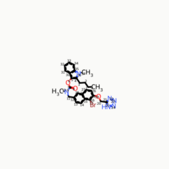 CCCCc1c(OC(=O)N(C)Cc2ccc3c(Br)c(OCc4nnn[nH]4)ccc3c2)c2ccccc2n1C